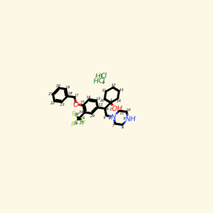 Cl.Cl.OC1(C(CN2CCNCC2)c2ccc(OCc3ccccc3)c(C(F)(F)F)c2)CCCCC1